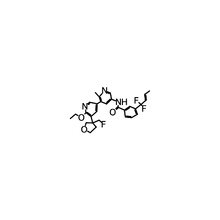 C/C=C/C(F)(F)c1cccc(C(=O)Nc2cnc(C)c(-c3cnc(OCC)c(C4(CF)CCOC4)c3)c2)c1